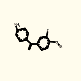 C=C(c1ccc(N)cc1)c1ccc(OCC)c(Cl)c1